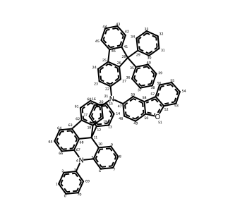 c1ccc(N2c3ccccc3C3(c4ccccc4)c4cc(N(c5ccc6c(c5)C(c5ccccc5)(c5ccccc5)c5ccccc5-6)c5ccc6oc7ccccc7c6c5)ccc4-c4cccc2c43)cc1